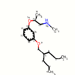 CCCC(CCC)COc1cccc(O[C@@H](C)CNC)c1